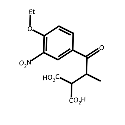 CCOc1ccc(C(=O)C(C)C(C(=O)O)C(=O)O)cc1[N+](=O)[O-]